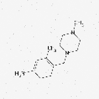 CN1CCN(CC2=C(C(F)(F)F)C=C(N)CC2)CC1